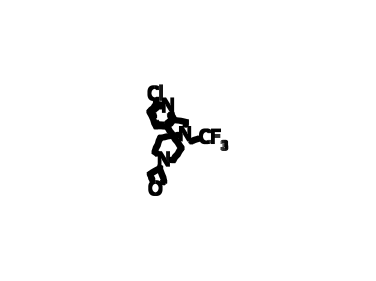 FC(F)(F)CN1Cc2nc(Cl)ccc2C12CCN(C1COC1)CC2